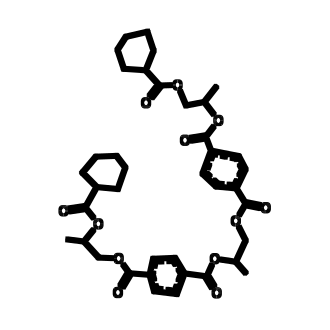 CC(COC(=O)c1ccc(C(=O)OC(C)COC(=O)C2CCCCC2)cc1)OC(=O)c1ccc(C(=O)OCC(C)OC(=O)C2CCCCC2)cc1